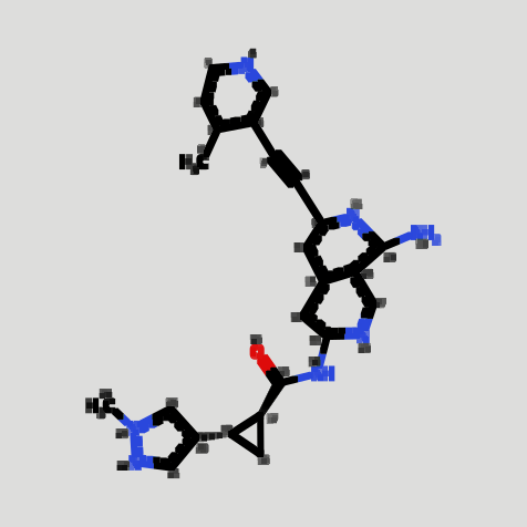 Cc1ccncc1C#Cc1cc2cc(NC(=O)[C@H]3C[C@@H]3c3cnn(C)c3)ncc2c(N)n1